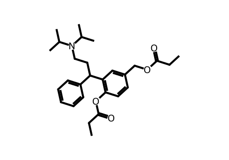 CCC(=O)OCc1ccc(OC(=O)CC)c(C(CCN(C(C)C)C(C)C)c2ccccc2)c1